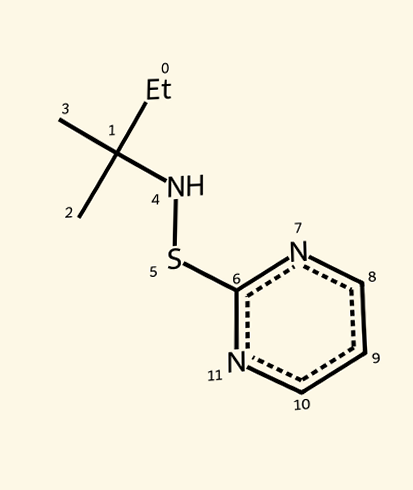 CCC(C)(C)NSc1ncccn1